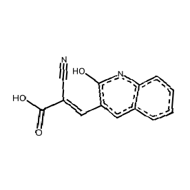 N#CC(=Cc1cc2ccccc2nc1O)C(=O)O